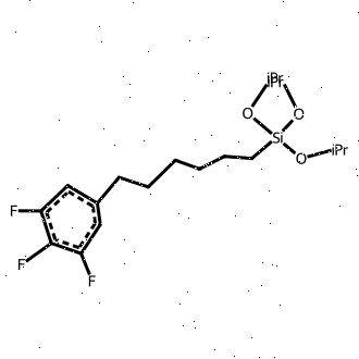 CC(C)O[Si](CCCCCCc1cc(F)c(F)c(F)c1)(OC(C)C)OC(C)C